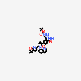 CC(C)(C)OC(=O)NCc1n[nH]c(=O)c2ccc(C3(C(=O)N(Cc4ccc5c(n4)OCC5(C)C)C4CCCc5cccnc54)CC3)cc12